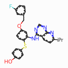 CC(C)c1ccc2c(Nc3cc(OCc4cccc(F)c4)ccc3Sc3ccc(O)cc3)ncnc2n1